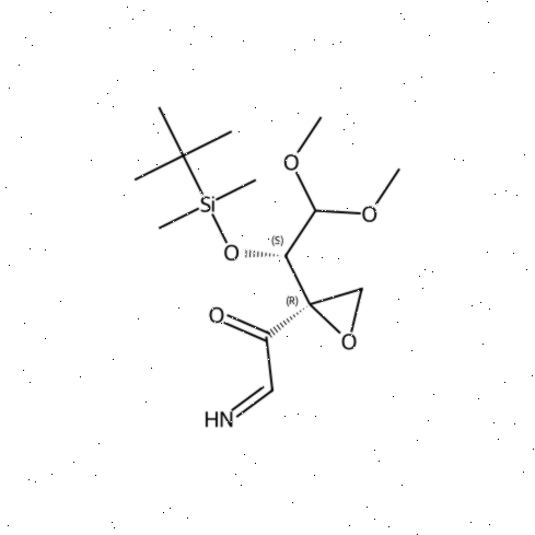 COC(OC)[C@@H](O[Si](C)(C)C(C)(C)C)[C@@]1(C(=O)C=N)CO1